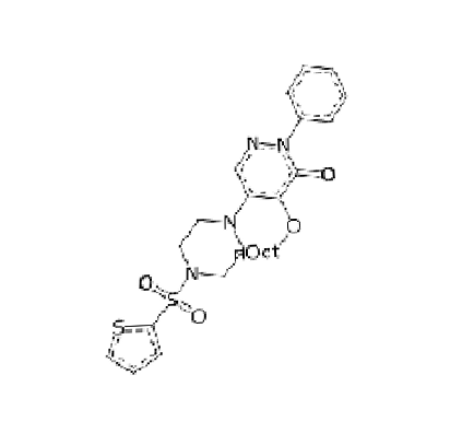 CCCCCCCCOc1c(N2CCN(S(=O)(=O)c3cccs3)CC2)cnn(-c2ccccc2)c1=O